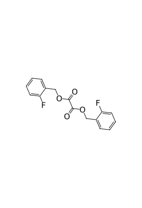 O=C(OCc1ccccc1F)C(=O)OCc1ccccc1F